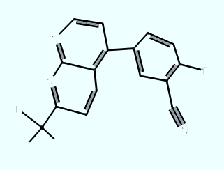 N#Cc1cc(-c2ccnc3nc(C(F)(F)F)ccc23)ccc1F